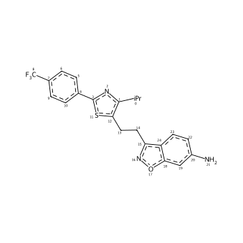 CC(C)c1nc(-c2ccc(C(F)(F)F)cc2)sc1CCc1noc2cc(N)ccc12